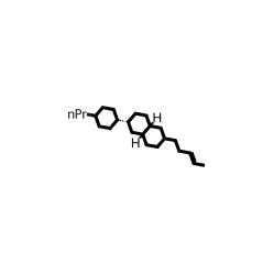 C/C=C/CCC1CC[C@@H]2C[C@H](C3CCC(CCC)CC3)CC[C@@H]2C1